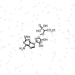 CCOC(=O)C(OC[C@H]1O[C@@H](n2cnc3c(N)nc(SC)nc32)[C@H](O)[C@@H]1O)P(=O)(O)O